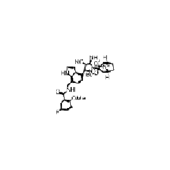 CCCCOC(=O)N1[C@@H]2CC[C@H]1CC(n1nc(-c3ccc(CNC(=O)c4cc(F)ccc4OC)c4[nH]ccc34)c(C#N)c1N)C2